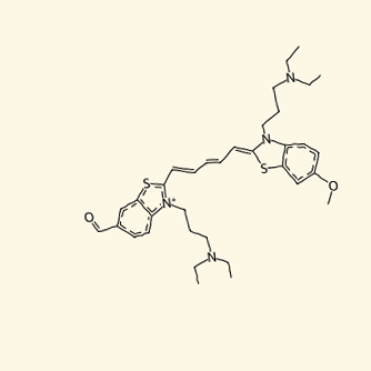 CCN(CC)CCCN1/C(=C/C=C/C=C/c2sc3cc(C=O)ccc3[n+]2CCCN(CC)CC)Sc2cc(OC)ccc21